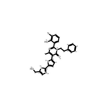 Cc1nc(-c2cccc(F)c2O)n(CCc2ccccc2)c(=O)c1-c1ccc(-c2ncc(CO)s2)s1